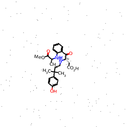 COC(=O)C(C)Nc1ccccc1C(=O)[C@H](CC(=O)O)NCCC(C)(C)c1ccc(O)cc1